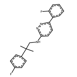 CC(C)(CNc1ccc(-c2ccccc2F)nn1)c1ccc(F)cc1